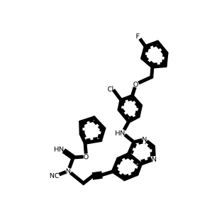 N#CN(CC#Cc1ccc2ncnc(Nc3ccc(OCc4cccc(F)c4)c(Cl)c3)c2c1)C(=N)Oc1ccccc1